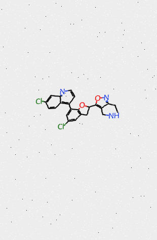 Clc1cc2c(c(-c3ccnc4cc(Cl)ccc34)c1)OC(c1onc3c1CNCC3)C2